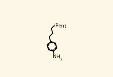 CCCC(C)CCCc1ccc(N)cc1